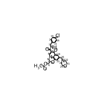 CC(=O)OCC1Cn2cc(C(=O)NCc3ccc(Cl)cc3)c(=O)c3cc(CN4CCOCC4)cc(c32)O1